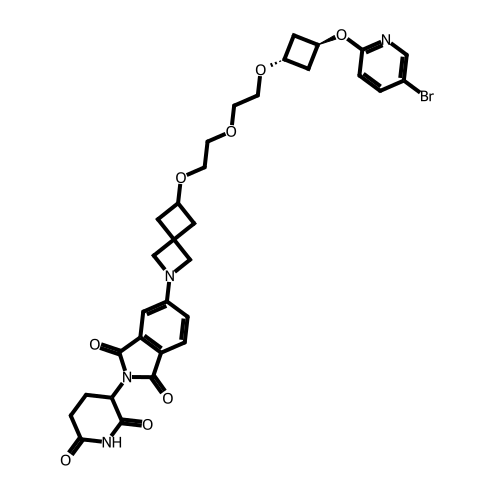 O=C1CCC(N2C(=O)c3ccc(N4CC5(CC(OCCOCCO[C@H]6C[C@H](Oc7ccc(Br)cn7)C6)C5)C4)cc3C2=O)C(=O)N1